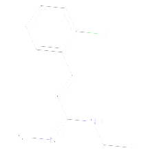 CC(C)CNC(/C=C/c1ccccc1Cl)=N/C#N